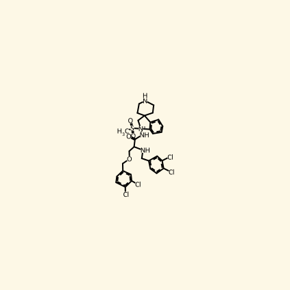 CS(=O)(=O)[N+]1(NC(=O)C(COCc2ccc(Cl)c(Cl)c2)NCc2ccc(Cl)c(Cl)c2)CC2(CCNCC2)c2ccccc21